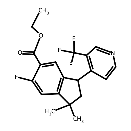 CCOC(=O)c1cc2c(cc1F)C(C)(C)CC2c1ccncc1C(F)(F)F